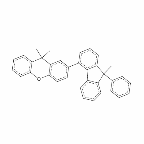 CC1(C)c2ccccc2Oc2ccc(-c3cccc4c3-c3ccccc3C4(C)c3ccccc3)cc21